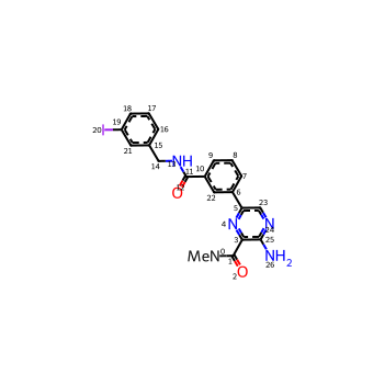 CNC(=O)c1nc(-c2cccc(C(=O)NCc3cccc(I)c3)c2)cnc1N